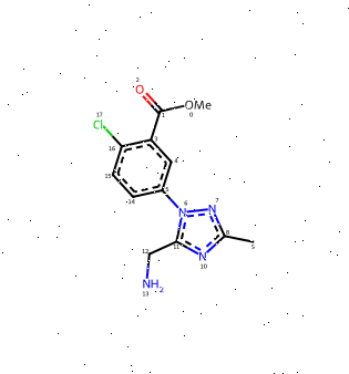 COC(=O)c1cc(-n2nc(C)nc2CN)ccc1Cl